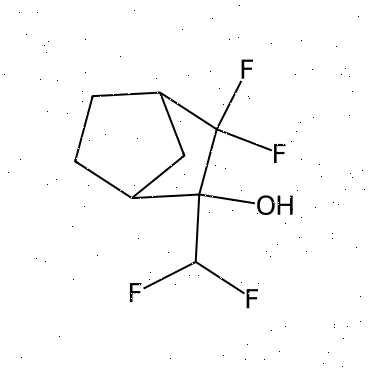 OC1(C(F)F)C2CCC(C2)C1(F)F